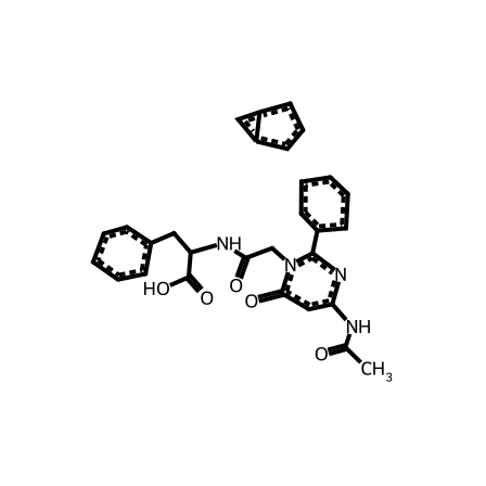 CC(=O)Nc1cc(=O)n(CC(=O)NC(Cc2ccccc2)C(=O)O)c(-c2ccccc2)n1.c1cc2cc-2c1